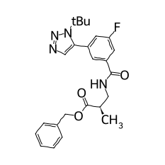 C[C@H](CNC(=O)c1cc(F)cc(-c2cnnn2C(C)(C)C)c1)C(=O)OCc1ccccc1